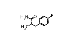 C[C@H]([CH]c1ccc(F)cc1)C(N)=O